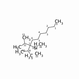 CCCCCCCC(C(C)C)(C(C)C)[SiH](C)C